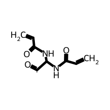 C=CC(=O)NC([C]=O)NC(=O)C=C